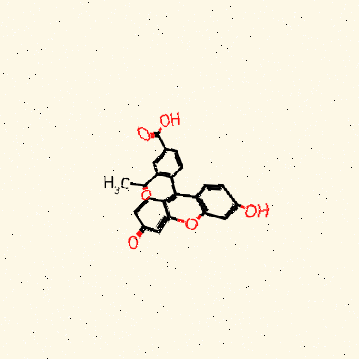 CC(=O)c1cc(C(=O)O)ccc1-c1c2ccc(=O)cc-2oc2cc(O)ccc12